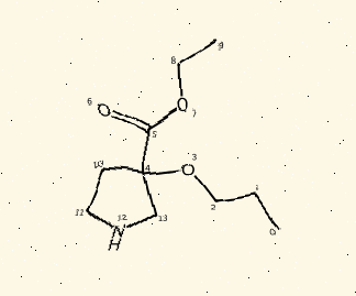 CCCOC1(C(=O)OCC)CCNC1